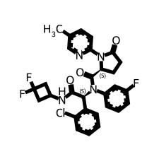 Cc1ccc(N2C(=O)CC[C@H]2C(=O)N(c2cccc(F)c2)[C@H](C(=O)NC2CC(F)(F)C2)c2ccccc2Cl)nc1